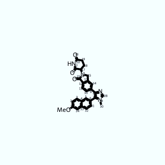 COc1ccc2cc(-c3c(-c4ccc5c(c4)CN(C4CCC(=O)NC4=O)C5=O)ncn3C)ccc2c1